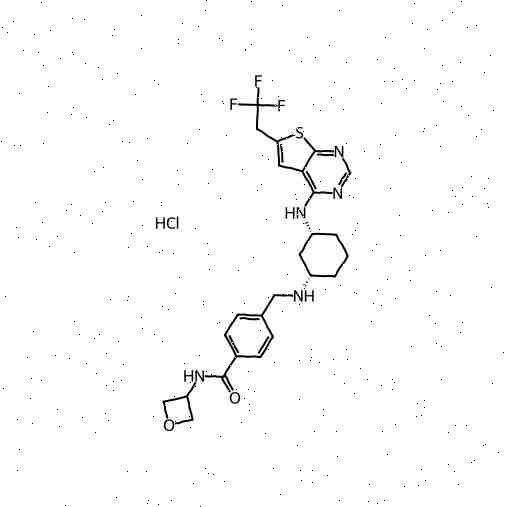 Cl.O=C(NC1COC1)c1ccc(CN[C@H]2CCC[C@@H](Nc3ncnc4sc(CC(F)(F)F)cc34)C2)cc1